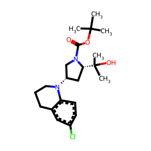 CC(C)(C)OC(=O)N1C[C@@H](N2CCCc3cc(Cl)ccc32)C[C@H]1C(C)(C)O